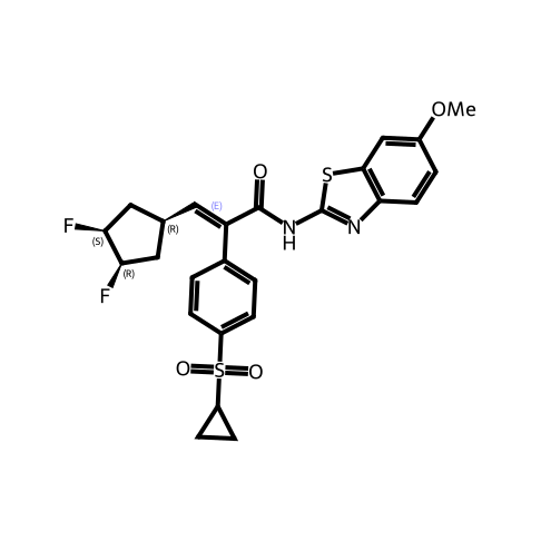 COc1ccc2nc(NC(=O)/C(=C/[C@H]3C[C@@H](F)[C@@H](F)C3)c3ccc(S(=O)(=O)C4CC4)cc3)sc2c1